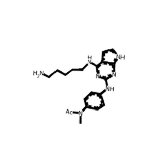 CC(=O)N(C)c1ccc(Nc2nc(NCCCCCN)c3cc[nH]c3n2)cc1